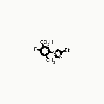 CCc1cn(-c2cc(C(=O)O)c(F)cc2C)cn1